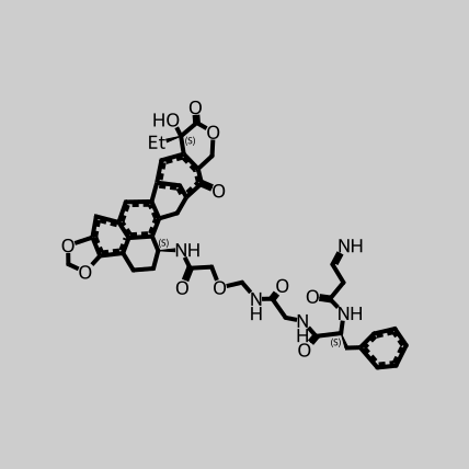 CC[C@@]1(O)C(=O)OCc2c1cc1cc(c2=O)Cc2c-1cc1cc3c(c4c1c2[C@@H](NC(=O)COCNC(=O)CNC(=O)[C@H](Cc1ccccc1)NC(=O)CC=N)CC4)OCO3